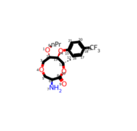 CCCO[C@H]1COC[C@H](N)C(=O)O[C@@H](C)[C@@H]1Oc1ccc(C(F)(F)F)cc1